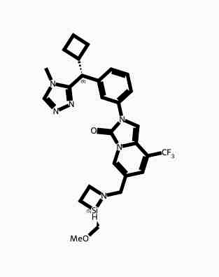 COC[Si@@H]1CCN1Cc1cc(C(F)(F)F)c2cn(-c3cccc([C@H](c4nncn4C)C4CCC4)c3)c(=O)n2c1